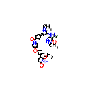 Cc1ccc(OC2CCN(C(=O)c3ccc([C@H]4C[C@@H](Nc5cnn(C)c(=O)c5Br)CN(C)C4)cc3)CC2)cc1C1CCC(=O)NC1=O